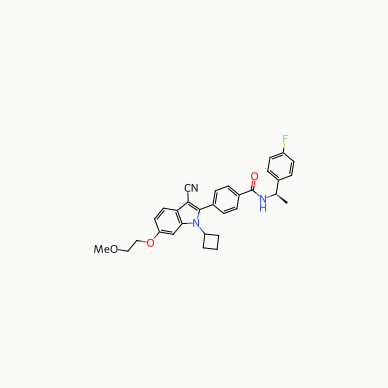 COCCOc1ccc2c(C#N)c(-c3ccc(C(=O)N[C@H](C)c4ccc(F)cc4)cc3)n(C3CCC3)c2c1